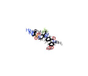 Cc1[nH]ncc1S(=O)(=O)N1CCc2c(c(C(F)(F)F)nn2-c2cccc(C(=O)N(C)c3ccc4c(c3)OCO4)c2)C1